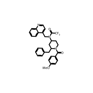 COc1ccc(C(=O)N2CCC(N(Cc3ccnc4ccccc34)C(=O)C(F)(F)F)CC2Cc2ccccc2)cc1